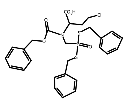 O=C(O)C(CCCl)N(CP(=O)(SCc1ccccc1)SCc1ccccc1)C(=O)OCc1ccccc1